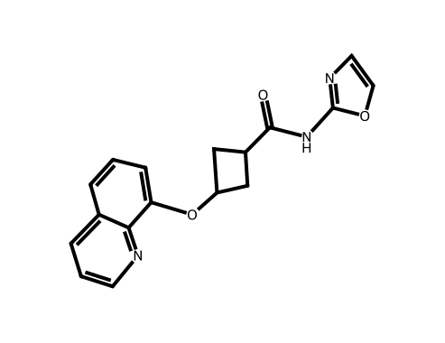 O=C(Nc1ncco1)C1CC(Oc2cccc3cccnc23)C1